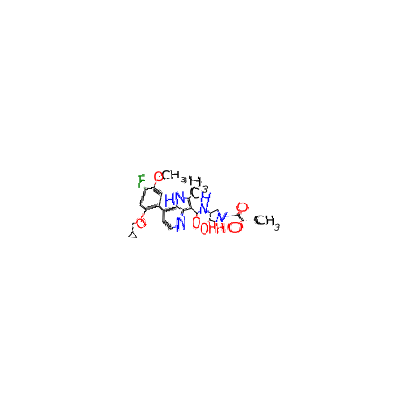 COc1cc(-c2ccnc3c(C(=O)N[C@H]4CN(C(=O)[C@H](C)O)C[C@@H]4O)c(C)[nH]c23)c(OCC2CC2)cc1F